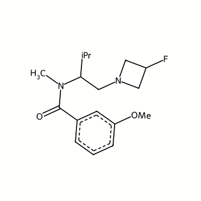 COc1cccc(C(=O)N(C)C(CN2CC(F)C2)C(C)C)c1